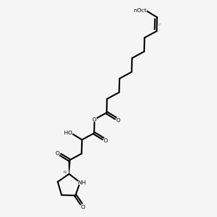 CCCCCCCC/C=C\CCCCCCCC(=O)OC(=O)C(O)CC(=O)[C@@H]1CCC(=O)N1